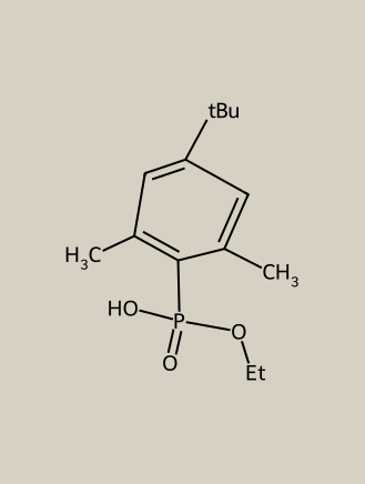 CCOP(=O)(O)c1c(C)cc(C(C)(C)C)cc1C